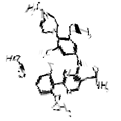 COc1cccc(F)c1-c1ncc(C(N)=O)c(Nc2cc(C)c(N3CCN(C)CC3)c(C)c2)n1.O=CO